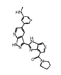 CNc1cncc(-c2cnc3[nH]nc(-c4nc5c(C(=O)N6CCCC6)cncc5[nH]4)c3c2)c1